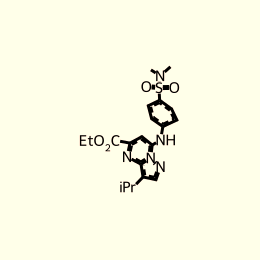 CCOC(=O)c1cc(Nc2ccc(S(=O)(=O)N(C)C)cc2)n2ncc(C(C)C)c2n1